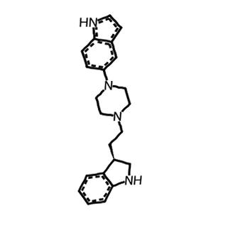 c1ccc2c(c1)NC[C@@H]2CCN1CCN(c2ccc3[nH]ccc3c2)CC1